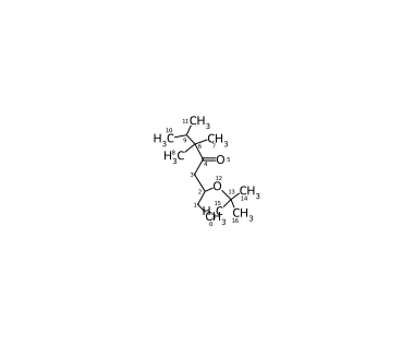 CCC(CC(=O)C(C)(C)C(C)C)OC(C)(C)C